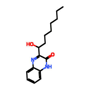 CCCCCCCC(O)c1nc2ccccc2[nH]c1=O